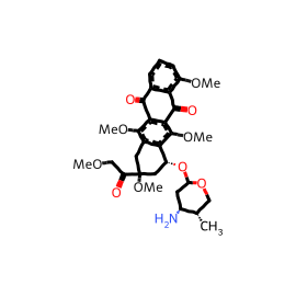 COCC(=O)C1(OC)Cc2c(OC)c3c(c(OC)c2[C@H](OC2C[C@@H](N)[C@@H](C)CO2)C1)C(=O)c1c(OC)cccc1C3=O